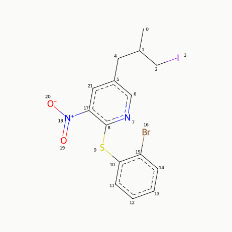 CC(CI)Cc1cnc(Sc2ccccc2Br)c([N+](=O)[O-])c1